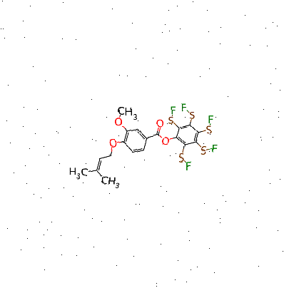 COc1cc(C(=O)Oc2c(SF)c(SF)c(SF)c(SF)c2SF)ccc1OCC=C(C)C